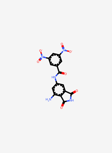 Nc1cc(NC(=O)c2cc([N+](=O)[O-])cc([N+](=O)[O-])c2)cc2c1C(=O)NC2=O